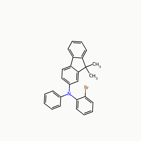 CC1(C)c2ccccc2-c2ccc(N(c3ccccc3)c3ccccc3Br)cc21